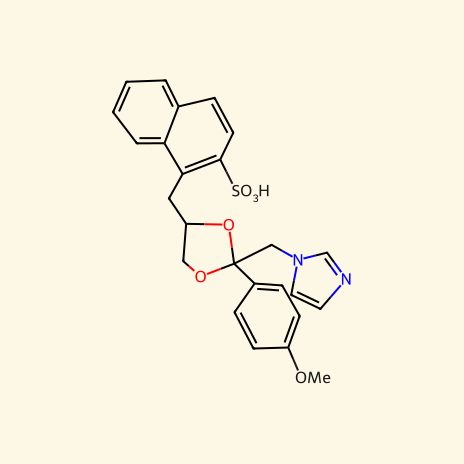 COc1ccc(C2(Cn3ccnc3)OCC(Cc3c(S(=O)(=O)O)ccc4ccccc34)O2)cc1